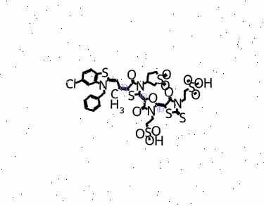 C/C(C=C1Sc2ccc(Cl)cc2N1Cc1ccccc1)=c1\s/c(=c2/o/c(=C3/SC(=S)N(CCS(=O)(=O)O)C3=O)n(CCS(=O)(=O)O)c2=O)n(C2CCS(=O)(=O)C2)c1=O